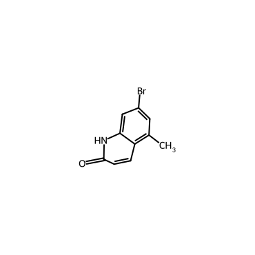 Cc1cc(Br)cc2[nH]c(=O)ccc12